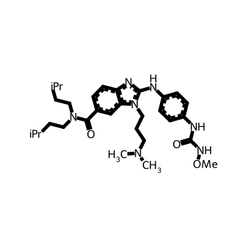 CONC(=O)Nc1ccc(Nc2nc3ccc(C(=O)N(CCC(C)C)CCC(C)C)cc3n2CCCN(C)C)cc1